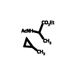 CC1CC1.CCOC(=O)C(C)NC(C)=O